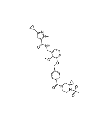 COc1c(CNC(=O)c2cc(C3CC3)nn2C)cccc1OCc1ccc(C(=O)N2CCN(S(C)(=O)=O)C3(CC3)C2)cc1